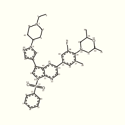 CCN1CCC(n2cc(-c3cn(S(=O)(=O)c4ccccc4)c4ncc(-c5cc(C)c(N6CC(C)OC(C)C6)c(F)c5)nc34)cn2)CC1